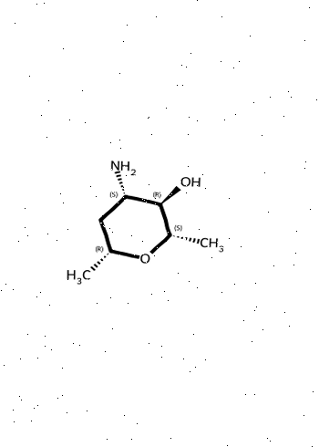 C[C@@H]1C[C@H](N)[C@@H](O)[C@H](C)O1